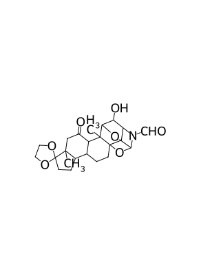 CC12CC(=O)C3C(CCC45CC6C(O)C(OC(O4)N6C=O)C35C)C1CCC21OCCO1